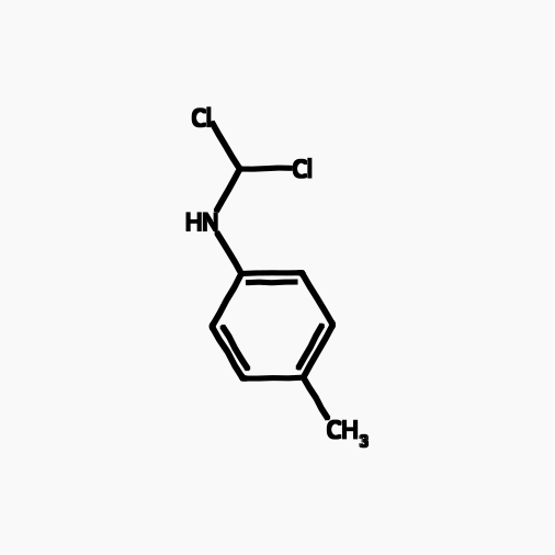 Cc1ccc(NC(Cl)Cl)cc1